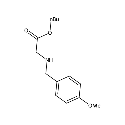 CCCCOC(=O)CNCc1ccc(OC)cc1